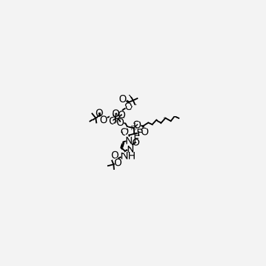 CCCCCCCCC(=O)O[C@@H]1C(COP(=O)(OCOC(=O)C(C)(C)C)OCOC(=O)C(C)(C)C)OC(n2ccc(NC(=O)OC(C)(C)C)nc2=O)C1(F)F